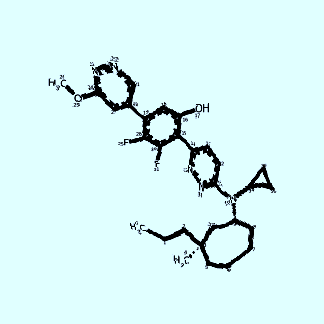 CCC[C@]1(C)CCCC[C@H](N(c2ccc(-c3c(O)cc(-c4cnnc(OC)c4)c(F)c3F)nn2)C2CC2)C1